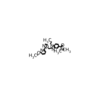 CCCn1c(Cn2ccnc2-c2cccc(OCC)n2)nc2cc(C(=O)N(C)C)ccc21